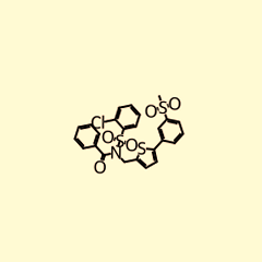 CS(=O)(=O)c1cccc(-c2ccc(CN(C(=O)c3ccccc3)S(=O)(=O)c3ccccc3Cl)s2)c1